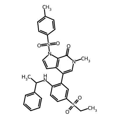 CCS(=O)(=O)c1ccc(NC(C)c2ccccc2)c(-c2cn(C)c(=O)c3c2ccn3S(=O)(=O)c2ccc(C)cc2)c1